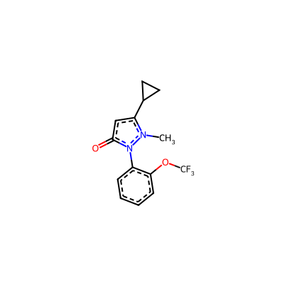 Cn1c(C2CC2)cc(=O)n1-c1ccccc1OC(F)(F)F